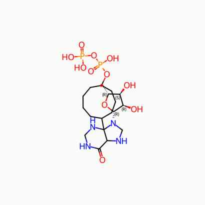 O=C1NCNC2(C3CCCCCCCC3)C1NCN2[C@@H]1O[C@H](COP(=O)(O)OP(=O)(O)O)[C@@H](O)[C@H]1O